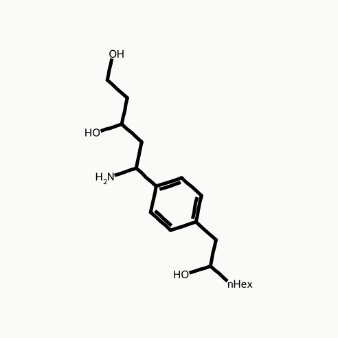 CCCCCCC(O)Cc1ccc(C(N)CC(O)CCO)cc1